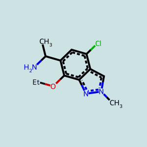 CCOc1c(C(C)N)cc(Cl)c2cn(C)nc12